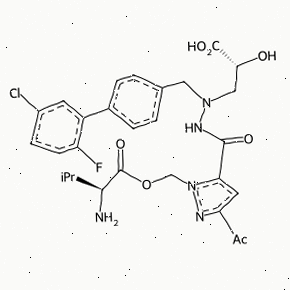 CC(=O)c1cc(C(=O)NN(Cc2ccc(-c3cc(Cl)ccc3F)cc2)C[C@@H](O)C(=O)O)n(COC(=O)[C@@H](N)C(C)C)n1